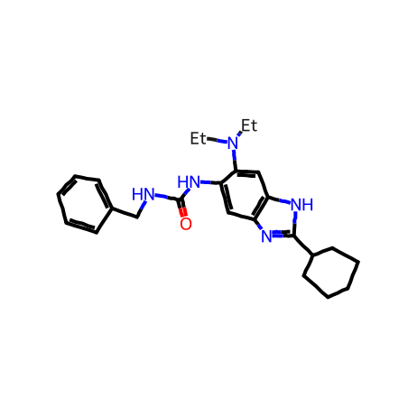 CCN(CC)c1cc2[nH]c(C3CCCCC3)nc2cc1NC(=O)NCc1ccccc1